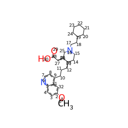 COc1ccc2nccc(CCC[C@@H]3CCN(CCC4CCCCC4)C[C@@H]3CC(=O)O)c2c1